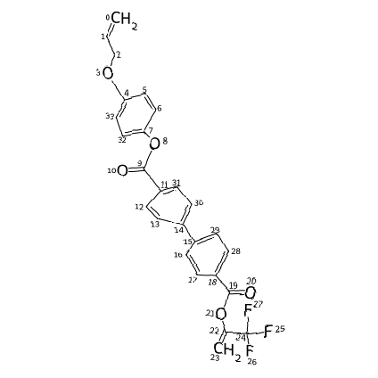 C=CCOc1ccc(OC(=O)c2ccc(-c3ccc(C(=O)OC(=C)C(F)(F)F)cc3)cc2)cc1